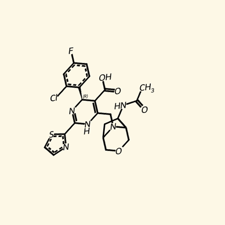 CC(=O)NC1CC2COCC1N2CC1=C(C(=O)O)[C@H](c2ccc(F)cc2Cl)N=C(c2nccs2)N1